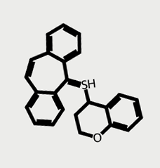 c1ccc2c(c1)OCCC2[SH]=c1c2ccccc2ccc2ccccc12